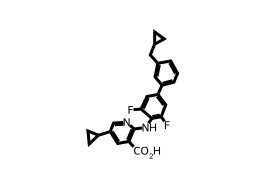 O=C(O)c1cc(C2CC2)cnc1Nc1c(F)cc(-c2cccc(CC3CC3)c2)cc1F